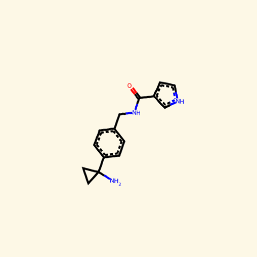 NC1(c2ccc(CNC(=O)c3cc[nH]c3)cc2)CC1